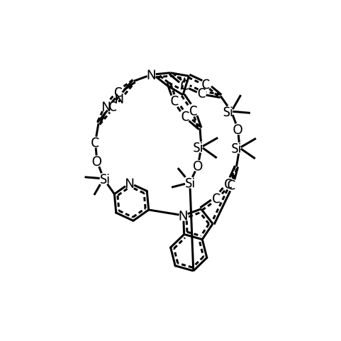 C[Si]1(C)O[Si](C)(C)c2ccc3c(c2)c2cc4ccc2n3-c2cnc(cn2)CO[Si](C)(C)c2ccc(cn2)-n2c3ccc1cc3c1cc(ccc12)[Si](C)(C)O[Si]4(C)C